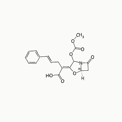 COC(=O)OC1C(=C(CC=Cc2ccccc2)C(=O)O)O[C@@H]2CC(=O)N12